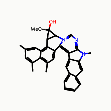 COC1(O)C2c3c(cc(C)c4c(C)cc(C)cc34)-c3c4c5cc6ccccc6cc5n(C)c4nc[n+]3C21